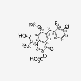 CC[C@H](C)[C@@H](CO)n1cc(OC(=O)O)c(=O)c2cc(Cc3cccc(Cl)c3F)c(OC(C)C)cc21